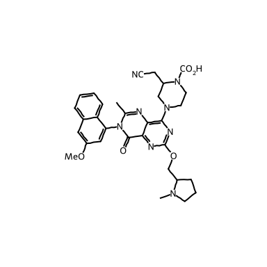 COc1cc(-n2c(C)nc3c(N4CCN(C(=O)O)C(CC#N)C4)nc(OCC4CCCN4C)nc3c2=O)c2ccccc2c1